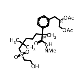 CNNC(=O)[C@](C)(CCCC(C)(C)CS(=O)(=O)CCO)c1cccc(C[C@H](COC(C)=O)OC(C)=O)c1